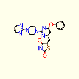 O=C1NC(=O)/C(=C\c2cc(Oc3ccccc3)nc(N3CCN(c4ncccn4)CC3)n2)S1